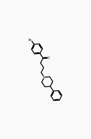 O=C(CCCN1CCC(c2c[c]ccc2)CC1)c1ccc(Br)cc1